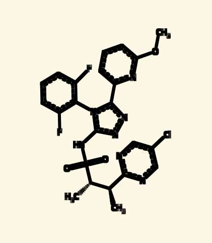 COc1cccc(-c2nnc(NS(=O)(=O)[C@@H](C)[C@H](C)c3ncc(Cl)cn3)n2-c2c(F)cccc2F)n1